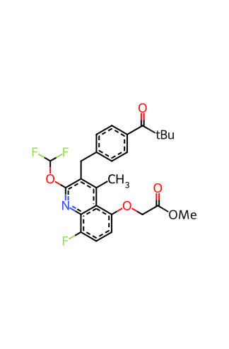 COC(=O)COc1ccc(F)c2nc(OC(F)F)c(Cc3ccc(C(=O)C(C)(C)C)cc3)c(C)c12